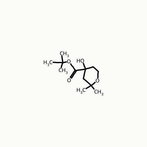 CC(C)(C)OC(=O)C1(O)CCOC(C)(C)C1